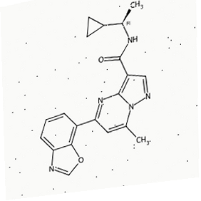 Cc1cc(-c2cccc3ncoc23)nc2c(C(=O)N[C@H](C)C3CC3)cnn12